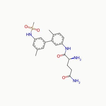 Cc1cc(NS(C)(=O)=O)cc(-c2cc(NC(=O)[C@@H](N)CCC(N)=O)ccc2C)c1